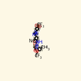 Cc1ccc(OCCC(F)(F)F)c(N2C(=O)CS/C2=N\C(=O)Nc2ccc(-c3ncn(-c4ccc(S(=O)(=O)C(F)(F)F)cc4)n3)cc2C#N)c1